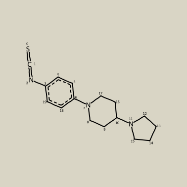 S=C=Nc1ccc(N2CCC(N3CCCC3)CC2)cc1